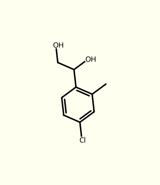 Cc1cc(Cl)ccc1C(O)CO